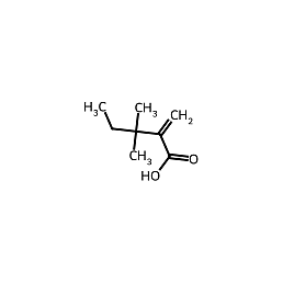 C=C(C(=O)O)C(C)(C)CC